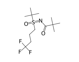 CC(C)(C)C(=O)N=S(=O)(CCCC(F)(F)F)C(C)(C)C